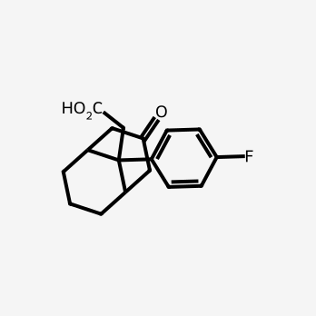 O=C(O)CC1(c2ccc(F)cc2)C2CCCC1CC(=O)C2